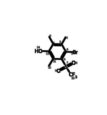 Cc1c(C)c(Br)c(S(=O)(=O)C(F)(F)F)c(C)c1O